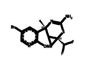 COc1ncc(Br)cc1[C@@]1(C)N=C(N)S[C@@]2(C(F)F)CC21